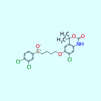 CC1(C)OC(=O)Nc2cc(Cl)c(OCCCC[S+]([O-])c3ccc(Cl)c(Cl)c3)cc21